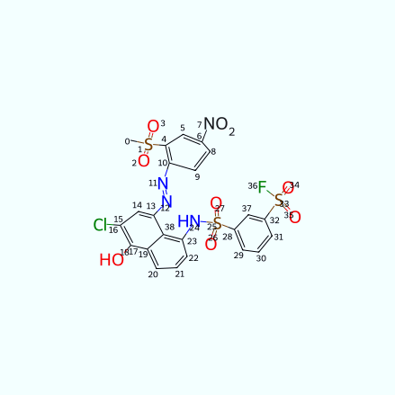 CS(=O)(=O)c1cc([N+](=O)[O-])ccc1N=Nc1cc(Cl)c(O)c2cccc(NS(=O)(=O)c3cccc(S(=O)(=O)F)c3)c12